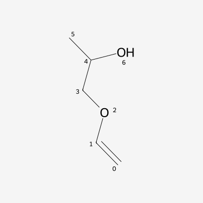 C=COCC(C)O